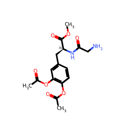 COC(=O)[C@H](Cc1ccc(OC(C)=O)c(OC(C)=O)c1)NC(=O)CN